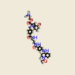 CCC(=O)N1c2ccccc2[C@H](Nc2ccc(C(=O)NCCCNC(=O)c3ccc(Cn4c(C(=O)OCCN(C)C)cc5c4CCCC5=O)cc3)cc2)C[C@@H]1C